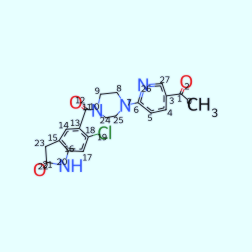 CC(=O)c1ccc(N2CCN(C(=O)c3cc4c(cc3Cl)NC(=O)C4)CC2)nc1